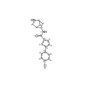 O=C(NC1CC2CC1CN2)c1ccc(-c2ccc(Cl)cc2)s1